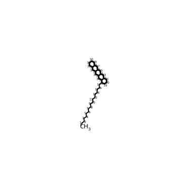 CCCCCCCCCCCCCCCCCCc1cccc2cc3cc4cc5ccccc5cc4cc3cc12